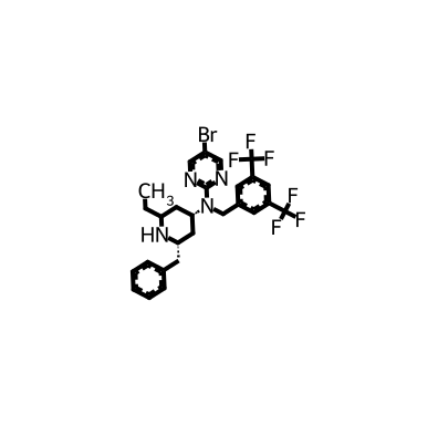 CCC1C[C@H](N(Cc2cc(C(F)(F)F)cc(C(F)(F)F)c2)c2ncc(Br)cn2)C[C@H](Cc2ccccc2)N1